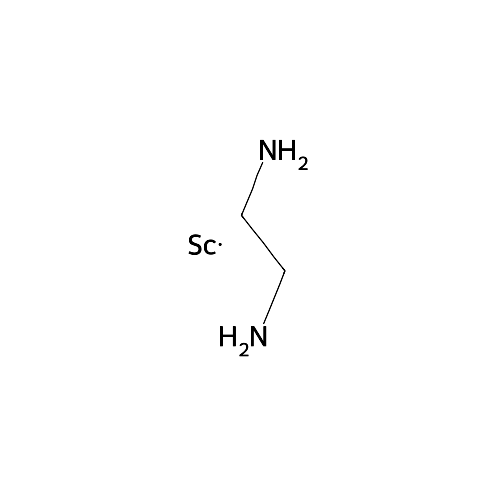 NCCN.[Sc]